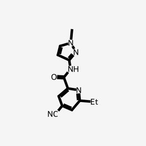 CCc1cc(C#N)cc(C(=O)Nc2ccn(C)n2)n1